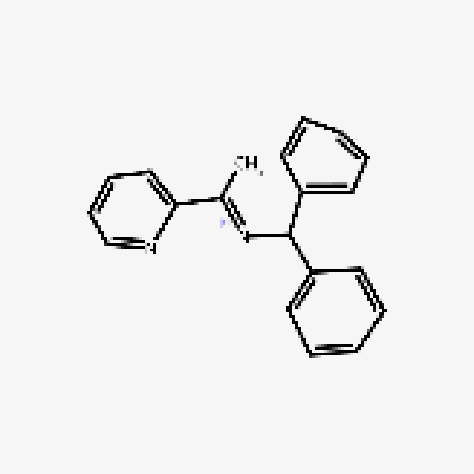 C/C(=N\C(c1ccccc1)c1ccccc1)c1ccccn1